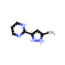 Cc1cc(-c2ncccn2)n[nH]1